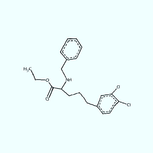 CCOC(=O)C(CCCc1ccc(Cl)c(Cl)c1)NCc1ccccc1